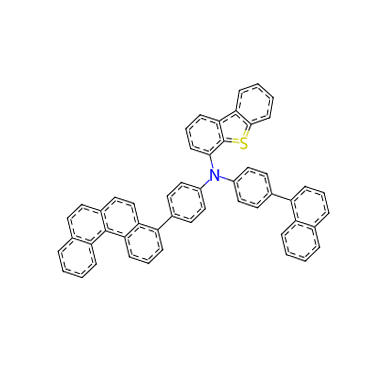 c1ccc2c(-c3ccc(N(c4ccc(-c5cccc6c5ccc5ccc7ccccc7c56)cc4)c4cccc5c4sc4ccccc45)cc3)cccc2c1